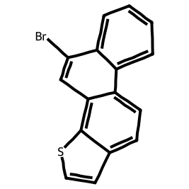 Brc1cc2c(ccc3ccsc32)c2ccccc12